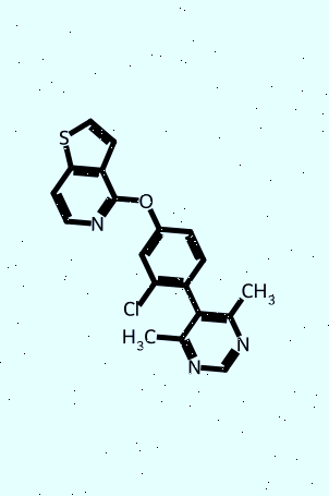 Cc1ncnc(C)c1-c1ccc(Oc2nccc3sccc23)cc1Cl